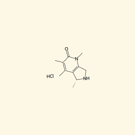 Cc1c2c(n(C)c(=O)c1C)CN[C@@H]2C.Cl